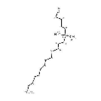 CCCCCCCCCCCCCCCCCCCCCC[N+](C)(C)CCCCCl